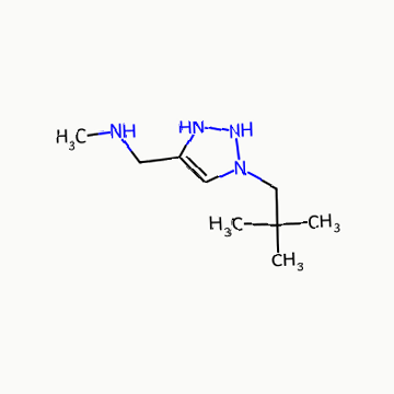 CNCC1=CN(CC(C)(C)C)NN1